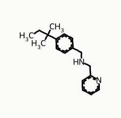 CCC(C)(C)c1ccc(CNCc2ccccn2)cc1